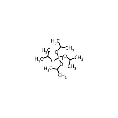 CC(C)[O][1Ti]([O]C(C)C)([O]C(C)C)[O]C(C)C